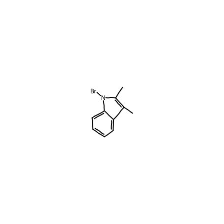 Cc1c(C)n(Br)c2ccccc12